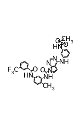 Cc1ccc(NC(=O)c2cccc(C(F)(F)F)c2)cc1NC(=O)n1ccc2c(Nc3cccc(NS(C)(=O)=O)c3)ncnc21